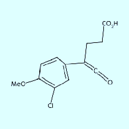 COc1ccc(C(=C=O)CCC(=O)O)cc1Cl